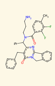 Cc1ccc(C(=O)N(CCCN)C(c2nc3n(c(=O)c2Cc2ccccc2)Cc2ccccc2-3)C(C)C)c(F)c1F